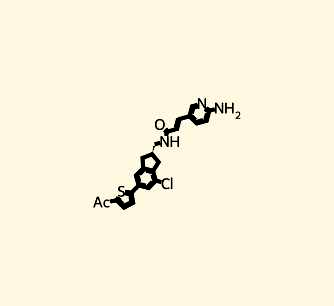 CC(=O)c1ccc(-c2cc(Cl)c3c(c2)C[C@H](CNC(=O)/C=C/c2ccc(N)nc2)C3)s1